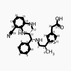 C[C@@H](CN[C@H](c1ccccc1)[C@H]1CNc2cccc(C#N)c2N1)c1cc(CC(=O)O)cs1